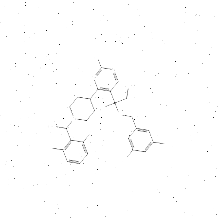 COCC(C)(OCc1cc(C)cc(C)c1)c1cnc(C)nc1C1CCN(C(C=O)c2c(F)cccc2F)CC1